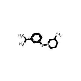 CC1CCCN(Sc2cccc(C(C)C)c2)C1